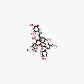 CC1=CC2c3c(O)cc(/C=C/c4ccc(O)cc4O)cc3OC3(c4ccc(O)c5c4OC(C)(C)C=C5)Oc4cc(O)ccc4C(C1)C23